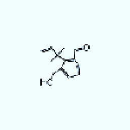 C=CC(C)(C)c1c(C=O)cccc1CO